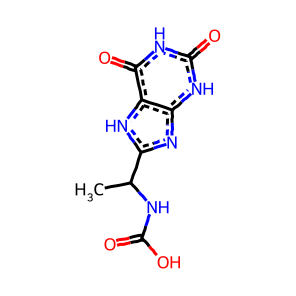 CC(NC(=O)O)c1nc2[nH]c(=O)[nH]c(=O)c2[nH]1